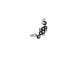 C[C@]12CC[C@H](N3CCC[C@H]3CO)C[C@H]1CC[C@@H]1[C@@H]2CC[C@]2(C)[C@@H](c3ccc(=O)oc3)CC[C@]12O